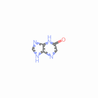 O=c1cnc2[nH]cnc2[nH]1